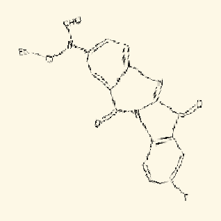 CCON(C=O)c1ccc2nc3n(c(=O)c2c1)-c1ccc(F)cc1C3=O